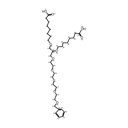 O=C(O)CCCCCCCOC[C@H](COCCOCCOCCOCCOCc1ccccc1)OCCCCCCCC(=O)O